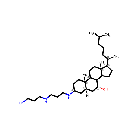 CC(C)CCC[C@@H](C)[C@H]1CCC2C3C(CC[C@@]21C)[C@@]1(C)CC[C@H](NCCCNCCCN)C[C@@H]1C[C@H]3O